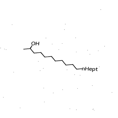 CCCCCCCCCCCCCCCC[C](C)O